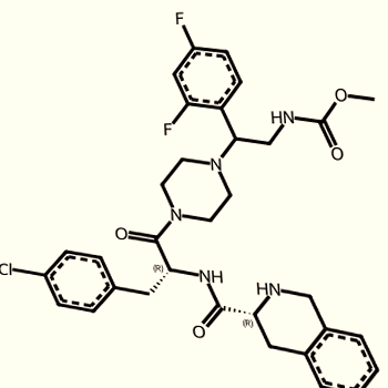 COC(=O)NCC(c1ccc(F)cc1F)N1CCN(C(=O)[C@@H](Cc2ccc(Cl)cc2)NC(=O)[C@H]2Cc3ccccc3CN2)CC1